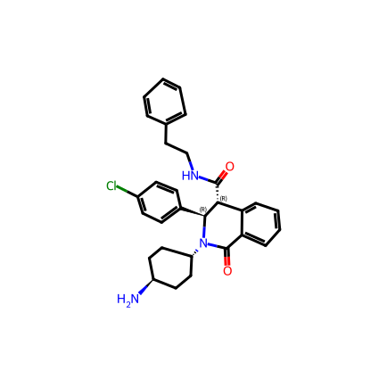 N[C@H]1CC[C@H](N2C(=O)c3ccccc3[C@@H](C(=O)NCCc3ccccc3)[C@@H]2c2ccc(Cl)cc2)CC1